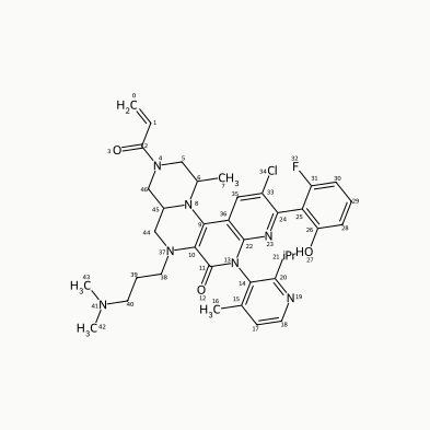 C=CC(=O)N1CC(C)N2c3c(c(=O)n(-c4c(C)ccnc4C(C)C)c4nc(-c5c(O)cccc5F)c(Cl)cc34)N(CCCN(C)C)CC2C1